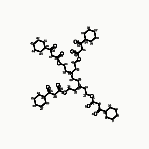 O=C(CC(=O)C1CCCCC1)OCCN(CCOC(=O)CC(=O)C1CCCCC1)CCN(CCOC(=O)CC(=O)C1CCCCC1)CCOC(=O)CC(=O)C1CCCCC1